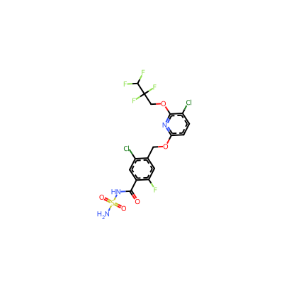 NS(=O)(=O)NC(=O)c1cc(Cl)c(COc2ccc(Cl)c(OCC(F)(F)C(F)F)n2)cc1F